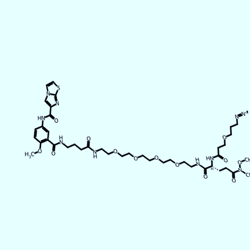 COc1ccc(NC(=O)c2cn3ccsc3n2)cc1C(=O)NCCCC(=O)NCCOCCOCCOCCOCCNC(=O)[C@@H](CCC(=O)N(C)OC)NC(=O)CCOCCCN=[N+]=[N-]